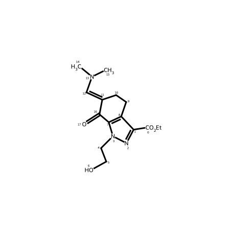 CCOC(=O)c1nn(CCO)c2c1CCC(=CN(C)C)C2=O